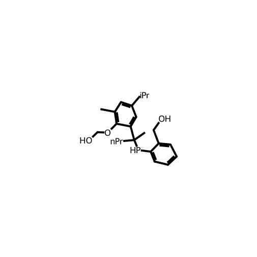 CCCC(C)(Pc1ccccc1CO)c1cc(C(C)C)cc(C)c1OCO